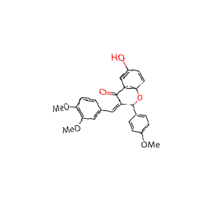 COc1ccc(C2Oc3ccc(O)cc3C(=O)C2=Cc2ccc(OC)c(OC)c2)cc1